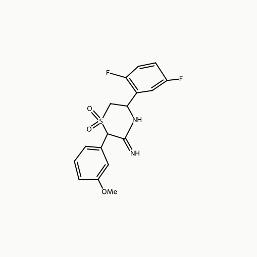 COc1cccc(C2C(=N)NC(c3cc(F)ccc3F)CS2(=O)=O)c1